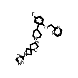 Fc1ccc(OCc2ncccn2)c(C2CCN([C@@H]3COC4(C3)CN(c3nnco3)C4)CC2)c1